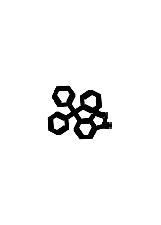 c1ccc(C(c2ccccc2)(c2ccccc2)c2cccc3[nH]nnc23)cc1